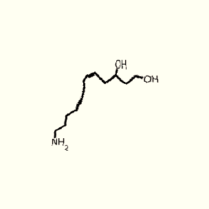 NCCCCCC/C=C\CC(O)CCO